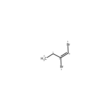 CC/C(Br)=[C]\Br